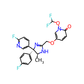 C[C@@H]1NC(COc2ccc(=O)n(OC(F)F)c2)=N[C@]1(c1ccc(F)cc1)c1ccc(F)nc1